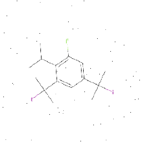 CC(C)c1c(F)cc(C(C)(C)I)cc1C(C)(C)I